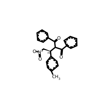 Cc1ccc([C@@H](C[N+](=O)[O-])C(C(=O)c2ccccc2)C(=O)c2ccccc2)cc1